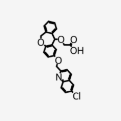 O=C(O)COC1c2ccccc2COc2ccc(OCc3ccc4cc(Cl)ccc4n3)cc21